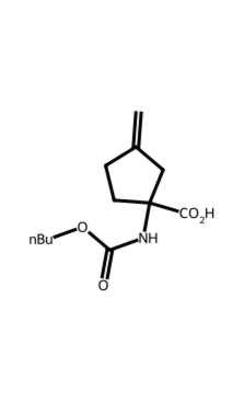 C=C1CCC(NC(=O)OCCCC)(C(=O)O)C1